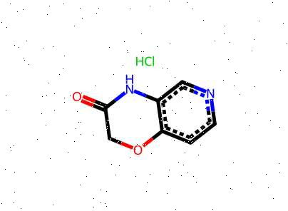 Cl.O=C1COc2ccncc2N1